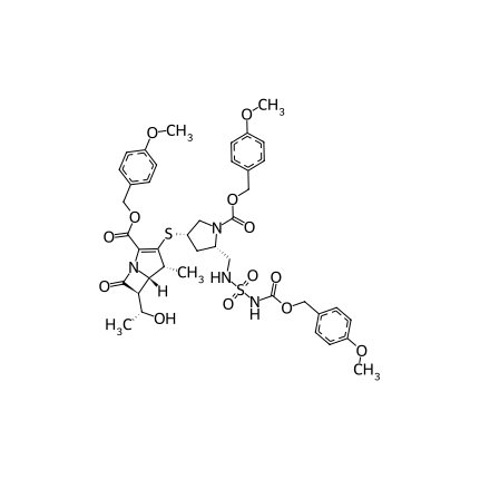 COc1ccc(COC(=O)NS(=O)(=O)NC[C@@H]2C[C@H](SC3=C(C(=O)OCc4ccc(OC)cc4)N4C(=O)[C@H]([C@@H](C)O)[C@H]4[C@H]3C)CN2C(=O)OCc2ccc(OC)cc2)cc1